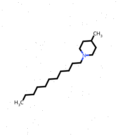 CCCCCCCCCCCN1CCC(C)CC1